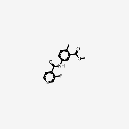 COC(=O)c1cc(NC(=O)c2ccncc2F)ccc1C